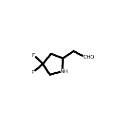 O=CCC1CC(F)(F)CN1